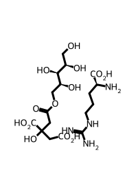 N=C(N)NCCC[C@H](N)C(=O)O.O=C(O)CC(O)(CC(=O)OC[C@H](O)[C@@H](O)[C@H](O)CO)C(=O)O